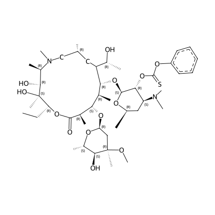 CC[C@H]1OC(=O)[C@H](C)[C@@H](O[C@H]2C[C@@](C)(OC)[C@@H](O)[C@H](C)O2)[C@H](C)[C@@H](O[C@@H]2O[C@H](C)C[C@H](N(C)C)[C@H]2OC(=S)Oc2ccccc2)C([C@@H](C)O)C[C@@H](C)CN(C)[C@H](C)[C@@H](O)[C@]1(C)O